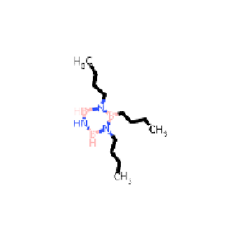 CCCCB1N(CCCC)BNBN1CCCC